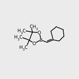 CC1(C)OB(C=C2CCCCC2)OC1(C)C